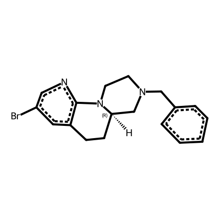 Brc1cnc2c(c1)CC[C@@H]1CN(Cc3ccccc3)CCN21